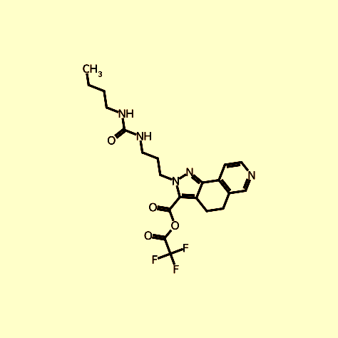 CCCCNC(=O)NCCCn1nc2c(c1C(=O)OC(=O)C(F)(F)F)CCc1cnccc1-2